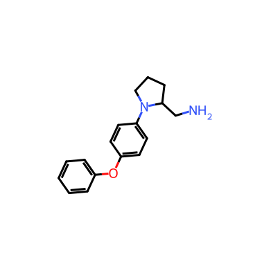 NCC1CCCN1c1ccc(Oc2ccccc2)cc1